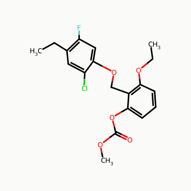 CCOc1cccc(OC(=O)OC)c1COc1cc(F)c(CC)cc1Cl